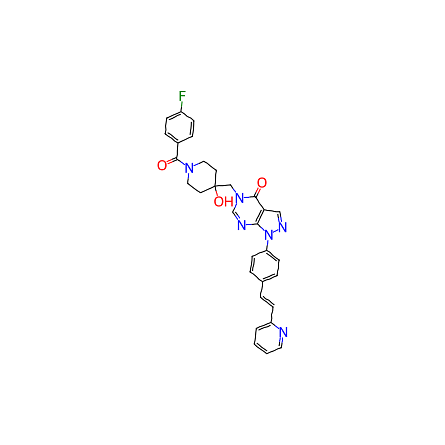 O=C(c1ccc(F)cc1)N1CCC(O)(Cn2cnc3c(cnn3-c3ccc(/C=C/c4ccccn4)cc3)c2=O)CC1